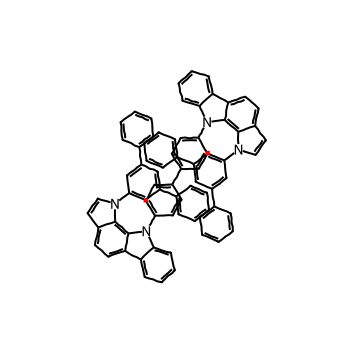 c1ccc(-c2cc(-c3ccccc3)cc(-n3ccc4ccc5c6ccccc6n(-c6ccc(-c7ccc(-n8c9ccccc9c9ccc%10ccn(-c%11cc(-c%12ccccc%12)cc(-c%12ccccc%12)c%11)c%10c98)cc7)cc6)c5c43)c2)cc1